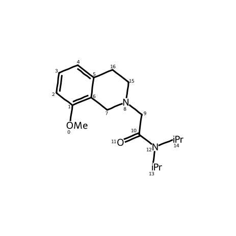 COc1cccc2c1CN(CC(=O)N(C(C)C)C(C)C)CC2